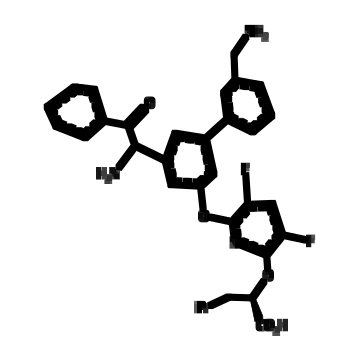 CC(C)C[C@@H](Oc1nc(Oc2cc(-c3cccc(CN)c3)cc(C(N)C(=O)c3ccccc3)c2)c(F)cc1F)C(=O)O